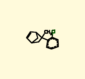 CC1(c2ccccc2Cl)CC2C=CC1C2